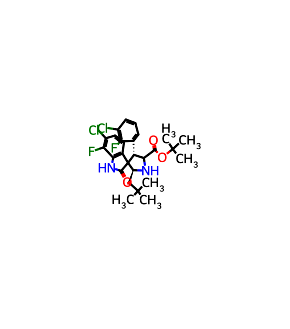 CC(C)(C)C[C@@H]1NC(C(=O)OC(C)(C)C)[C@@H](c2cccc(Cl)c2F)C12C(=O)Nc1c2ccc(Cl)c1F